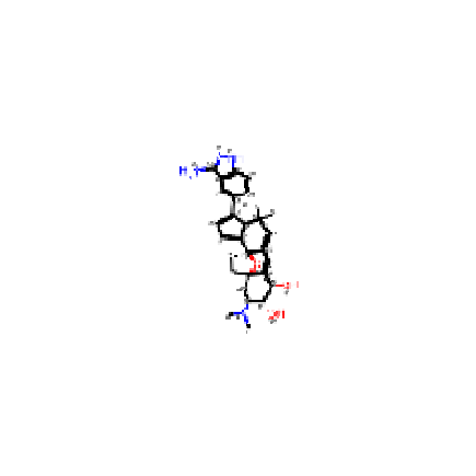 CN(C)[C@H]1C[C@@]23CC[C@@]4(O2)C(=CC(C)(C)[C@]2(C)C(c5ccc6[nH]nc(N)c6c5)=CCC42)C=C3[C@@H](O)[C@@H]1O